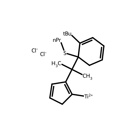 CCCSC1(C(C)(C)C2=[C]([Ti+2])CC=C2)CC=CC=C1C(C)(C)C.[Cl-].[Cl-]